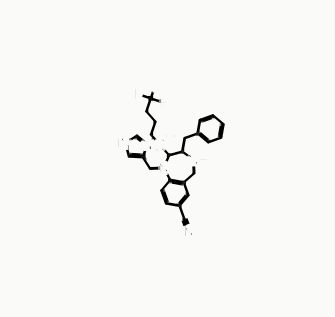 N#Cc1ccc2c(c1)CNC(Cc1ccccc1)C(S(=O)(=O)CCCC(F)(F)F)N2Cc1c[nH]cn1